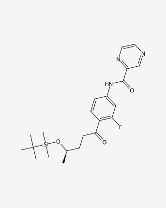 C[C@H](CCC(=O)c1ccc(NC(=O)c2cnccn2)cc1F)O[Si](C)(C)C(C)(C)C